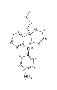 CCCCC1(c2ccccc2Oc2ccc(N)cc2)CCCCC1